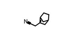 N#CCC1=C2CCC(C1)C2